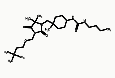 CCCCNC(=O)NC1CCC(C)(CN2C(=O)N(COCC[Si](C)(C)C)C(=O)C2(C)C)CC1